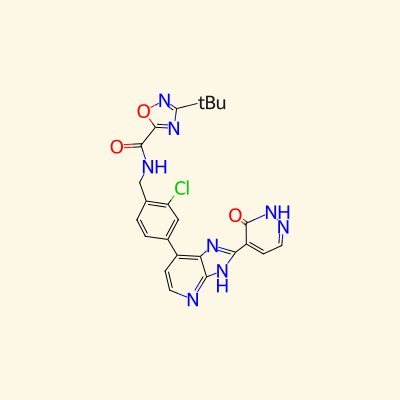 CC(C)(C)c1noc(C(=O)NCc2ccc(-c3ccnc4[nH]c(-c5ccn[nH]c5=O)nc34)cc2Cl)n1